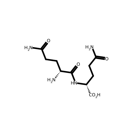 NC(=O)CC[C@@H](N)C(=O)N[C@H](CCC(N)=O)C(=O)O